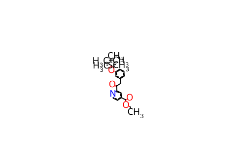 CCOC(=O)c1ccnc(C(=O)Cc2cccc(O[Si](C)(C)C(C)(C)C)c2)c1